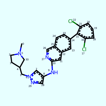 CN1CCC(Cn2cc(Nc3cc4cc(-c5c(Cl)cccc5Cl)ccc4cn3)cn2)C1